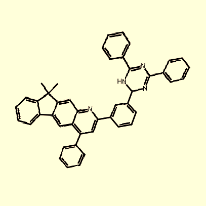 CC1(C)c2ccccc2-c2cc3c(-c4ccccc4)cc(-c4cccc(C5N=C(c6ccccc6)N=C(c6ccccc6)N5)c4)nc3cc21